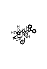 CC(C)(C)CN(C(=O)C(F)(F)F)[C@H]1C[C@@H](n2cnc3c(NCC(c4ccccc4)c4ccccc4)nc(NCCN4CCCCC4)nc32)[C@H](O)[C@@H]1O